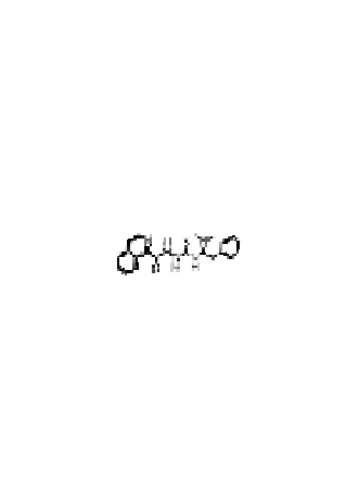 CN(C)C(Cc1ccccc1)NC(=S)NNC(=O)c1nccc2c[c]ccc12